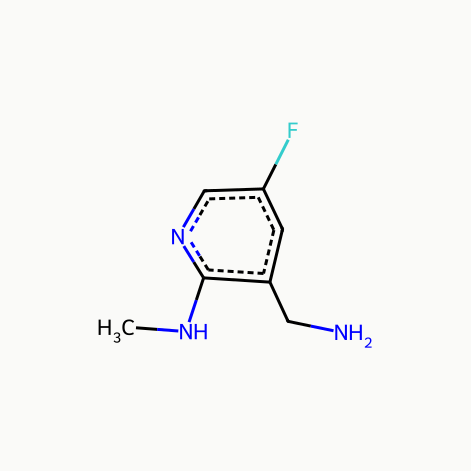 CNc1ncc(F)cc1CN